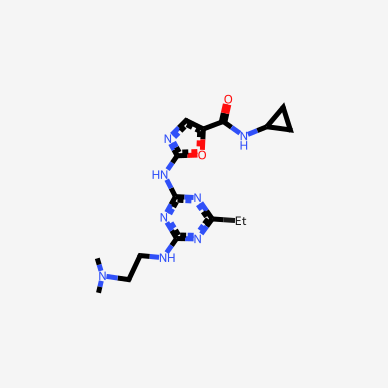 CCc1nc(NCCN(C)C)nc(Nc2ncc(C(=O)NC3CC3)o2)n1